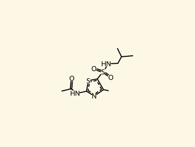 CC(=O)Nc1nc(C)c(S(=O)(=O)NCC(C)C)s1